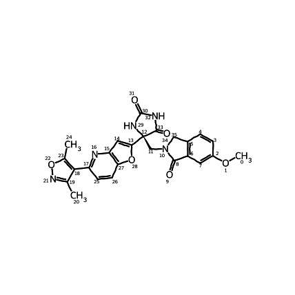 COc1ccc2c(c1)C(=O)N(C[C@@]1(c3cc4nc(-c5c(C)noc5C)ccc4o3)NC(=O)NC1=O)C2